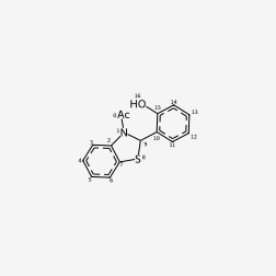 CC(=O)N1c2ccccc2SC1c1ccccc1O